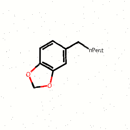 CCCCCCc1ccc2c(c1)OCO2